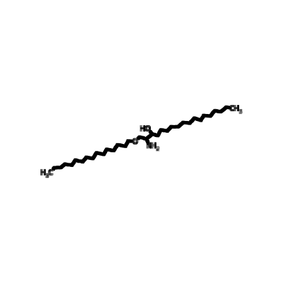 CCCCCCCCCCCCCCCCOCC(N)C(O)CCCCCCCCCCCCCCC